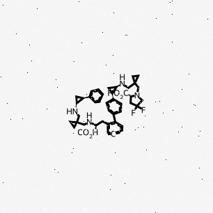 O=C(O)[C@H](Cc1ccccc1-c1ccc([C@@H]2C[C@H]2NCC2(CN3CC(F)(F)C[C@H]3C(=O)O)CC2)cc1)NCC1(CN[C@@H]2C[C@H]2c2ccccc2)CC1